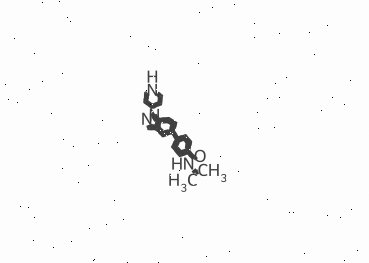 CC(C)NC(=O)c1ccc(-c2ccc3c(cnn3C3CCNCC3)c2)cc1